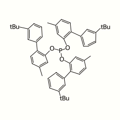 Cc1ccc(-c2cccc(C(C)(C)C)c2)c(OP(Oc2cc(C)ccc2-c2cccc(C(C)(C)C)c2)Oc2cc(C)ccc2-c2cccc(C(C)(C)C)c2)c1